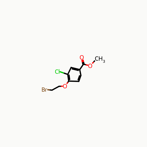 COC(=O)c1ccc(OCCBr)c(Cl)c1